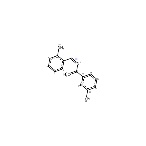 C=C(/N=C\c1ccccc1N)c1cccc(CCC)n1